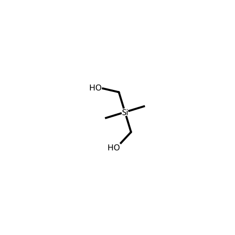 C[Si](C)(CO)CO